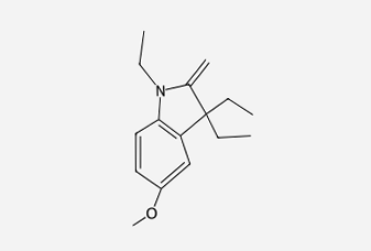 C=C1N(CC)c2ccc(OC)cc2C1(CC)CC